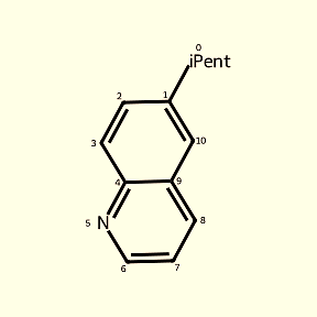 CCCC(C)c1ccc2ncccc2c1